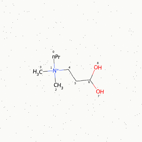 CCC[N+](C)(C)CCC(O)O